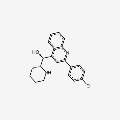 O[C@@H](c1cc(-c2ccc(Cl)cc2)nc2ccccc12)[C@H]1CCCCN1